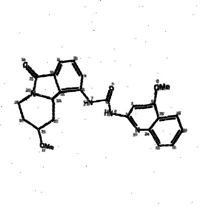 COc1cc(NC(=O)Nc2cccc3c2C2CC(OC)CCN2C3=O)nc2ccccc12